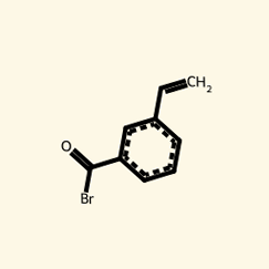 C=Cc1cccc(C(=O)Br)c1